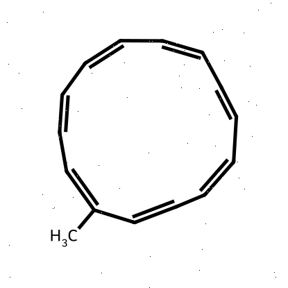 Cc1ccccccccccccc1